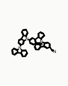 N#Cc1ccc2c(c1)c1ccccc1n2-c1ccccc1-c1cc(-n2c3ccccc3c3ccc(-n4c5ccccc5c5ccccc54)cc32)ccc1C#N